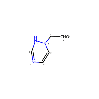 O=[C]CN1C=CN=CN1